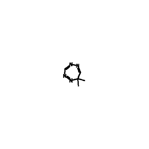 CC1(C)C=NN=CN=N1